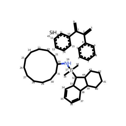 C=C(C(=C)c1ccccc1)c1ccccc1.[CH3][Ti]([CH3])([NH]C1CCCCCCCCCCC1)[CH]1C2C=CC=CC2C2CCCCC21.[SiH4]